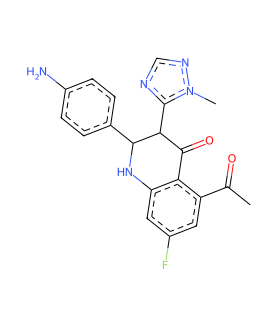 CC(=O)c1cc(F)cc2c1C(=O)C(c1ncnn1C)C(c1ccc(N)cc1)N2